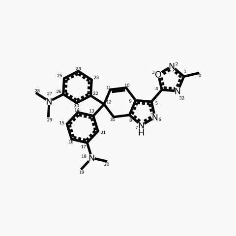 Cc1noc(-c2n[nH]c3c2C=CC(c2cccc(N(C)C)c2)(c2cccc(N(C)C)c2)C3)n1